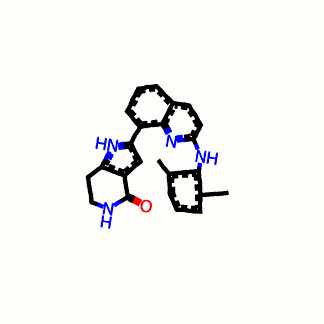 Cc1cccc(C)c1Nc1ccc2cccc(-c3cc4c([nH]3)CCNC4=O)c2n1